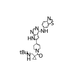 CC(C)(C)NCC1(C(=O)N2CC=C(c3cc4c(Nc5ccc6ncsc6c5)ncnc4[nH]3)CC2)CC1